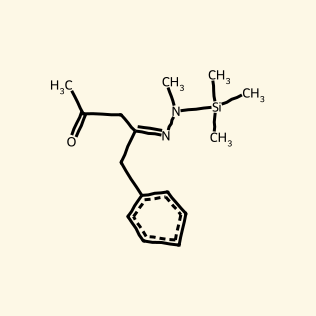 CC(=O)CC(Cc1ccccc1)=NN(C)[Si](C)(C)C